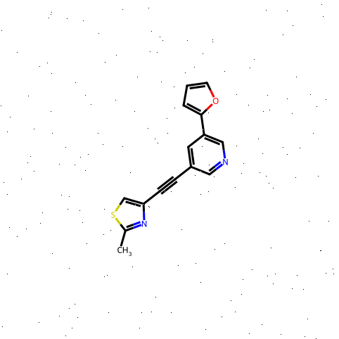 Cc1nc(C#Cc2cncc(-c3ccco3)c2)cs1